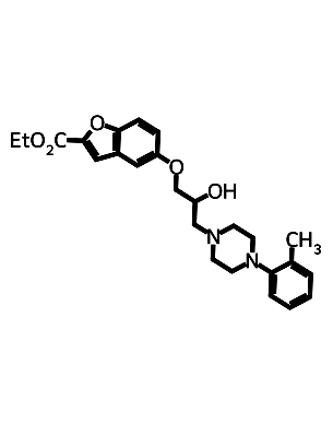 CCOC(=O)c1cc2cc(OCC(O)CN3CCN(c4ccccc4C)CC3)ccc2o1